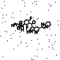 CCCS(=O)(=O)Nc1ccc(F)c(C(=O)c2c[nH]c3ncc(-c4cn5ccccc5n4)cc23)c1F